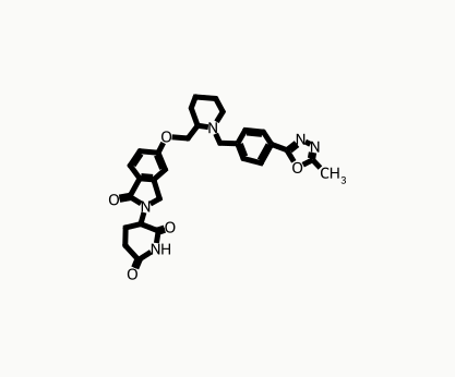 Cc1nnc(-c2ccc(CN3CCCCC3COc3ccc4c(c3)CN(C3CCC(=O)NC3=O)C4=O)cc2)o1